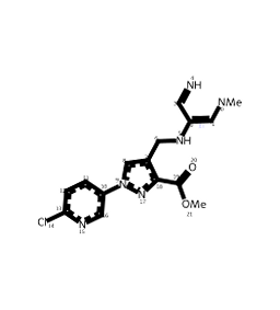 CN/C=C(\C=N)NCc1cn(-c2ccc(Cl)nc2)nc1C(=O)OC